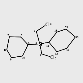 ClC[Si](CCl)(C1CCCCC1)C1CCCCC1